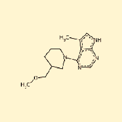 COCC1CCCN(c2ncnc3[nH]cc(C)c23)C1